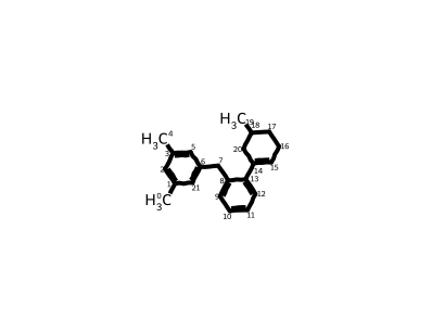 Cc1cc(C)cc(Cc2ccccc2C2=CCCC(C)C2)c1